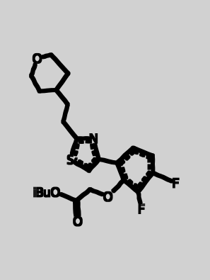 CC(C)COC(=O)COc1c(-c2csc(CCC3CCOCC3)n2)ccc(F)c1F